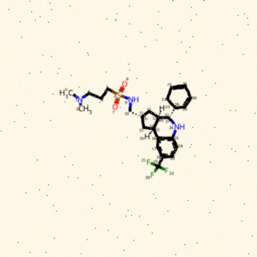 CN(C)CCCS(=O)(=O)NC[C@@H]1C[C@@H]2[C@H](C1)c1cc(C(F)(F)F)ccc1N[C@H]2C1C=CC=CC1